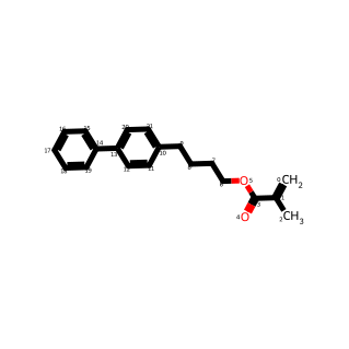 C=C(C)C(=O)OCCCCc1ccc(-c2ccccc2)cc1